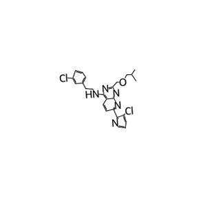 CC(C)COCc1nc(NCCc2cccc(Cl)c2)c2ccc(-c3ncccc3Cl)nc2n1